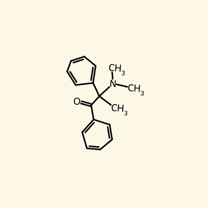 CN(C)C(C)(C(=O)c1ccccc1)c1ccccc1